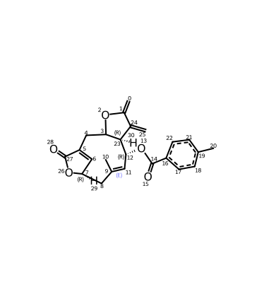 C=C1OC2CC3=C[C@@H](C/C(C)=C/[C@@H](OC(=O)c4ccc(C)cc4)[C@@H]2C1=C)OC3=O